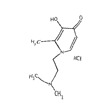 Cc1c(O)c(=O)ccn1CCN(C)C.Cl